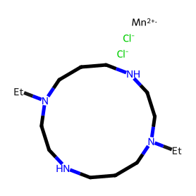 CCN1CCCNCCN(CC)CCCNCC1.[Cl-].[Cl-].[Mn+2]